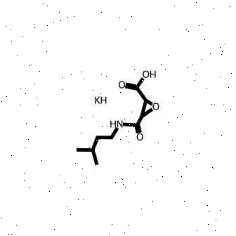 CC(C)CCNC(=O)C1OC1C(=O)O.[KH]